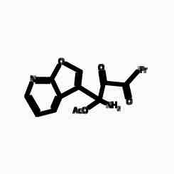 CC(=O)OC(N)(C(=O)C(=O)C(C)C)c1coc2ncccc12